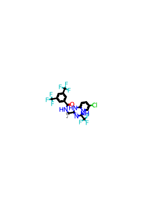 C[C@H](NC(=O)c1cc(C(F)(F)F)cc(C(F)(F)F)c1)/C(=N/C(=N)C(F)(F)F)Nc1ccc(Cl)cn1